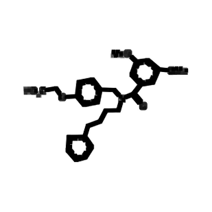 COc1cc(OC)cc(C(=O)N(CCCCc2ccccc2)Cc2ccc(OCC(=O)O)cc2)c1